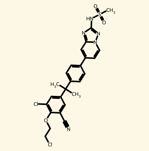 CC(C)(c1ccc(-c2ccn3nc(NS(C)(=O)=O)nc3c2)cc1)c1cc(Cl)c(OCCCl)c(C#N)c1